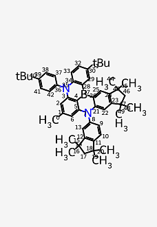 Cc1cc2c3c(c1)N(c1ccc4c(c1)C(C)(C)CC4(C)C)c1cc4c(cc1B3c1cc(C(C)(C)C)ccc1N2c1ccc(C(C)(C)C)cc1)C(C)(C)CC4(C)C